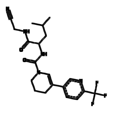 CC(C)CC(NC(=O)N1C=C(c2ccc(C(F)(F)F)nc2)CCC1)C(=O)NCC#N